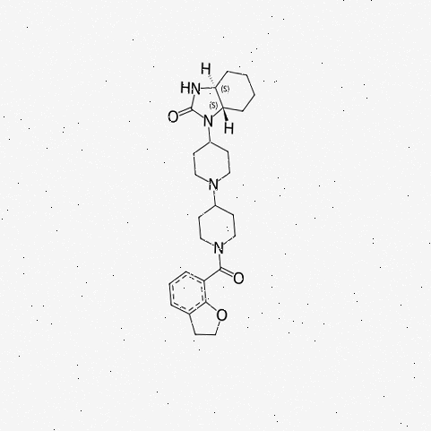 O=C(c1cccc2c1OCC2)N1CCC(N2CCC(N3C(=O)N[C@H]4CCCC[C@@H]43)CC2)CC1